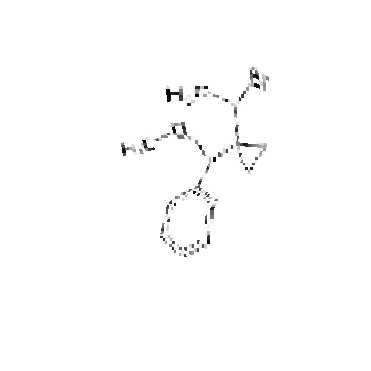 COC(c1ccccc1)C1(C(C)Br)CC1